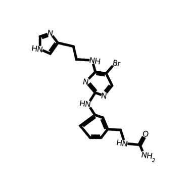 NC(=O)NCc1cccc(Nc2ncc(Br)c(NCCc3c[nH]cn3)n2)c1